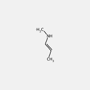 [CH2]NC=CC